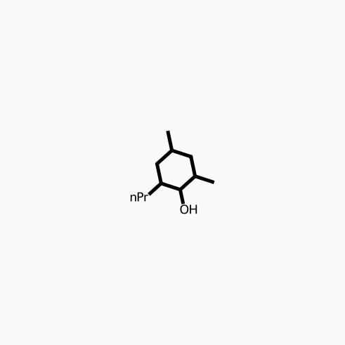 CCCC1CC(C)CC(C)C1O